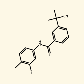 Cc1ccc(NC(=O)c2cccc(C(C)(C)C#N)c2)cc1I